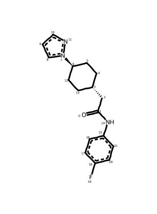 O=C(C[C@H]1CC[C@H](n2cccn2)CC1)Nc1ccc(F)cc1